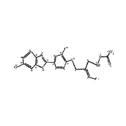 O=C(ONC/C(=C\F)COc1ccc(-c2nc3ccc(Cl)cc3s2)cc1F)C(F)(F)F